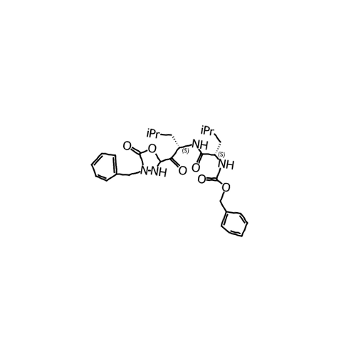 CC(C)C[C@H](NC(=O)OCc1ccccc1)C(=O)N[C@@H](CC(C)C)C(=O)C1NN(Cc2ccccc2)C(=O)O1